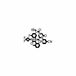 Cc1ccccc1C(C(=O)NC1CC(F)(F)C1)N(C(=O)[C@@H]1CN(C(=O)OC(C)(C)C)CC(=O)N1c1cc(C#N)ccn1)c1cccc(F)c1